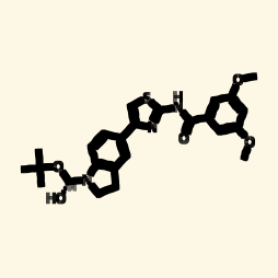 COc1cc(OC)cc(C(=O)Nc2nc(-c3ccc4c(c3)CCN4[C@H](O)OC(C)(C)C)cs2)c1